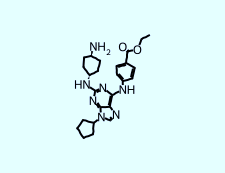 CCOC(=O)c1ccc(Nc2nc(N[C@H]3CC[C@H](N)CC3)nc3c2ncn3C2CCCC2)cc1